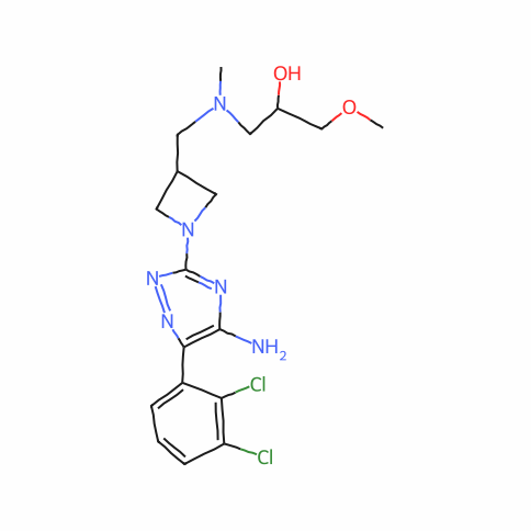 COCC(O)CN(C)CC1CN(c2nnc(-c3cccc(Cl)c3Cl)c(N)n2)C1